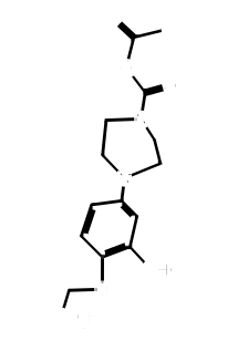 C=C(C)OC(=O)N1CCN(c2ccc(OCC(=O)OCC)c(C=O)c2)CC1